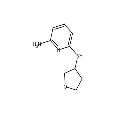 Nc1cccc(NC2CCOC2)n1